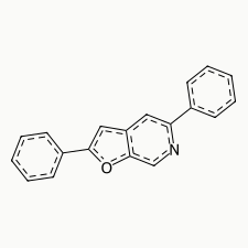 c1ccc(-c2cc3cc(-c4ccccc4)oc3cn2)cc1